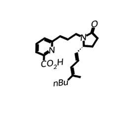 CCCCC(C)=CC=C[C@H]1CCC(=O)N1CCCc1cccc(C(=O)O)n1